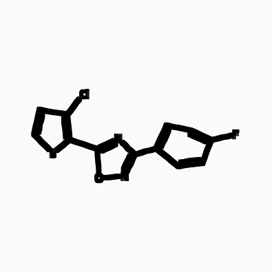 Fc1ccc(-c2noc(-c3sccc3Cl)n2)cc1